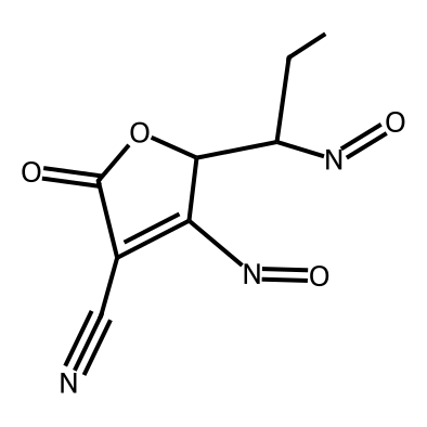 CCC(N=O)C1OC(=O)C(C#N)=C1N=O